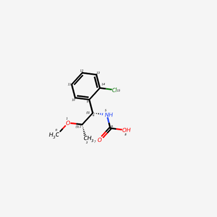 CO[C@@H](C)[C@@H](NC(=O)O)c1ccccc1Cl